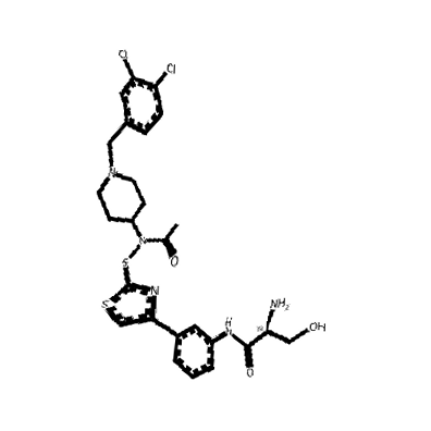 CC(=O)N(Sc1nc(-c2cccc(NC(=O)[C@@H](N)CO)c2)cs1)C1CCN(Cc2ccc(Cl)c(Cl)c2)CC1